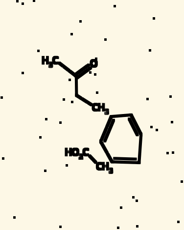 CC(=O)O.CCC(C)=O.c1ccccc1